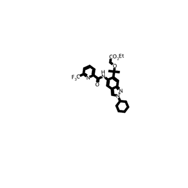 CCOC(=O)COC(C)(C)c1cc2nn(C3CCCCC3)cc2cc1NC(=O)c1cccc(C(F)(F)F)n1